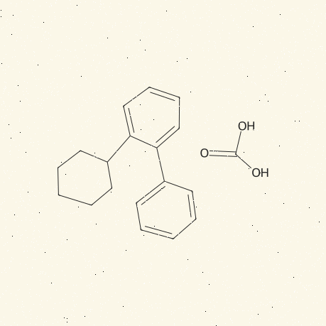 O=C(O)O.c1ccc(-c2ccccc2C2CCCCC2)cc1